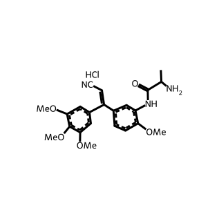 COc1ccc(C(=CC#N)c2cc(OC)c(OC)c(OC)c2)cc1NC(=O)C(C)N.Cl